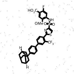 COc1cc(C(=O)O)c(F)cc1NS(=O)(=O)c1csc(-c2ccc(-c3ccc(C45CC6C[C@H](C4)C[C@H](C6)C5)cc3)cc2C(F)(F)F)n1